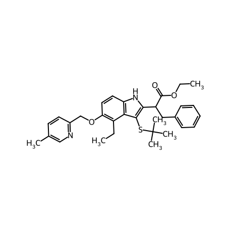 CCOC(=O)C(Cc1ccccc1)c1[nH]c2ccc(OCc3ccc(C)cn3)c(CC)c2c1SC(C)(C)C